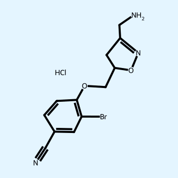 Cl.N#Cc1ccc(OCC2CC(CN)=NO2)c(Br)c1